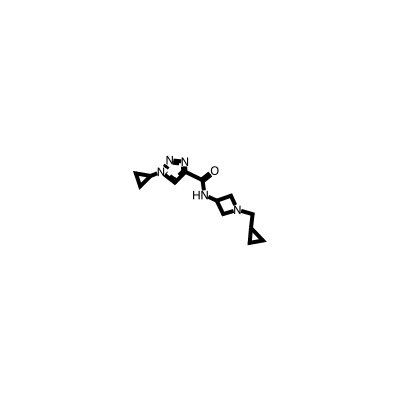 O=C(NC1CN(CC2CC2)C1)c1cn(C2CC2)nn1